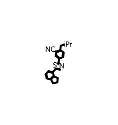 CC(C)Cc1ccc(-c2ncc(-c3cccc4c3CCC4)s2)cc1C#N